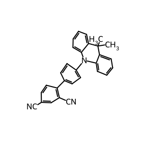 CC1(C)c2ccccc2N(c2ccc(-c3ccc(C#N)cc3C#N)cc2)c2ccccc21